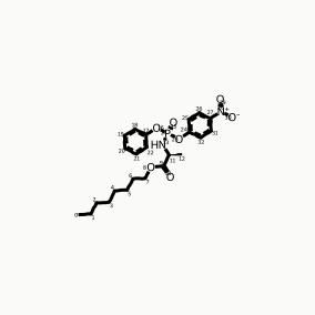 CCCCCCCCOC(=O)[C@H](C)NP(=O)(Oc1ccccc1)Oc1ccc([N+](=O)[O-])cc1